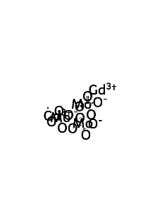 [Gd+3].[Gd+3].[O]=[Mo](=[O])([O-])[O-].[O]=[Mo](=[O])([O-])[O-].[O]=[Mo](=[O])([O-])[O-]